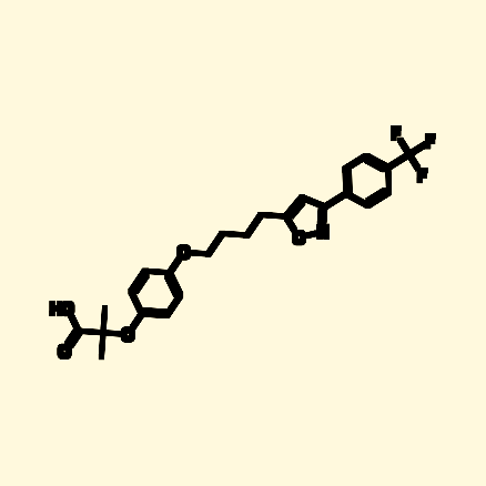 CC(C)(Oc1ccc(OCCCCc2cc(-c3ccc(C(F)(F)F)cc3)no2)cc1)C(=O)O